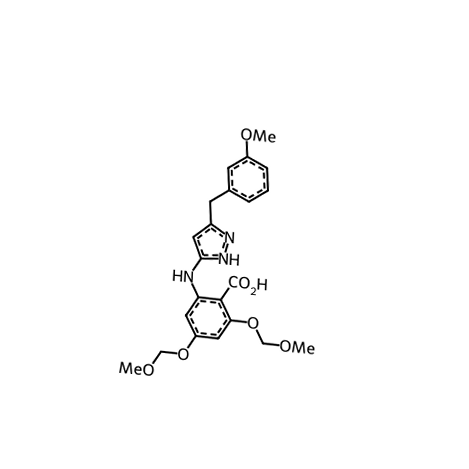 COCOc1cc(Nc2cc(Cc3cccc(OC)c3)n[nH]2)c(C(=O)O)c(OCOC)c1